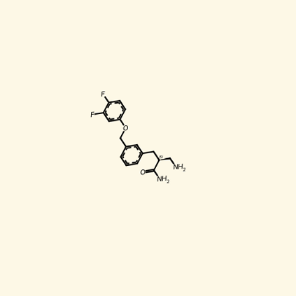 NC[C@H](Cc1cccc(COc2ccc(F)c(F)c2)c1)C(N)=O